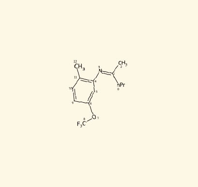 CCC/C(C)=N\c1cc(OC(F)(F)F)ccc1C